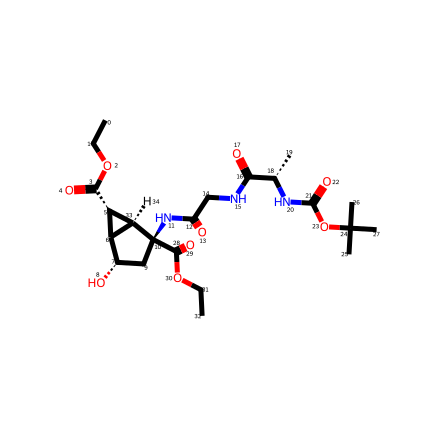 CCOC(=O)[C@H]1C2[C@@H](O)C[C@@](NC(=O)CNC(=O)[C@H](C)NC(=O)OC(C)(C)C)(C(=O)OCC)[C@@H]21